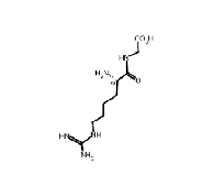 N=C(N)NCCCC[C@H](N)C(=O)NCC(=O)O